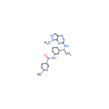 C[C@H](Nc1cnc2cnn(C)c2n1)c1cccc(NC(=O)c2ccc(C#N)nc2)c1